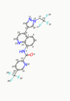 O=C(Nc1cccc2c(-c3cnn(CC(F)(F)F)c3)ccnc12)c1ccc(C(F)(F)F)cn1